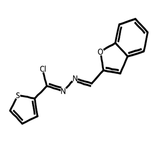 Cl/C(=N\N=Cc1cc2ccccc2o1)c1cccs1